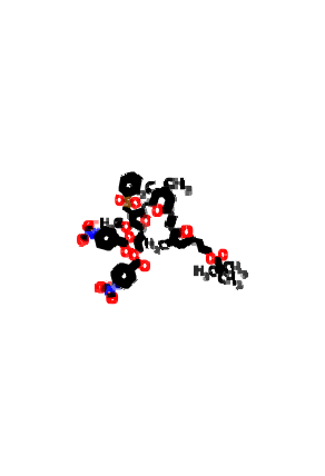 C=C1C[C@H](CCCOC(=O)C(C)(C)C)O[C@H]1CC[C@H]1C[C@@H](C)C(=C)[C@@H](C[C@@H]2O[C@H](CC(COC(=O)c3ccc([N+](=O)[O-])cc3)OC(=O)c3ccc([N+](=O)[O-])cc3)[C@H](OC)[C@H]2CS(=O)(=O)c2ccccc2)O1